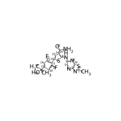 Cc1nc2ncc(Nc3sc(-c4c(F)cc(C(C)(C)O)cc4F)cc3C(N)=O)nc2s1